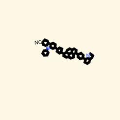 N#Cc1ccc2c3ccc(-c4ccc(-c5ccc6ccc7c(-c8ccc(-c9cccc%10cccnc9%10)cc8)ccc8ccc5c6c87)cc4)cc3n(-c3ccccc3)c2c1